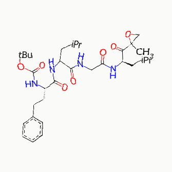 CC(C)CC(NC(=O)[C@H](CCc1ccccc1)NC(=O)OC(C)(C)C)C(=O)NCC(=O)N[C@H](CC(C)C)C(=O)C1(C)CO1